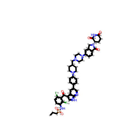 CCCS(=O)(=O)Nc1ccc(F)c(C(=O)c2c[nH]c3ncc(-c4ccc(N5CCC(CN6CCN(c7ccc8c(c7)CN([C@H]7CCC(=O)NC7=O)C8=O)CC6)CC5)cc4)cc23)c1F